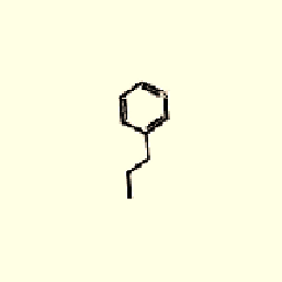 CCCc1[c]ccnc1